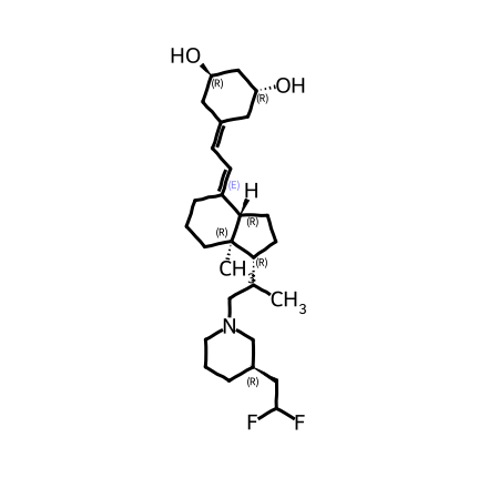 CC(CN1CCC[C@H](CC(F)F)C1)[C@H]1CC[C@H]2/C(=C/C=C3C[C@@H](O)C[C@H](O)C3)CCC[C@]12C